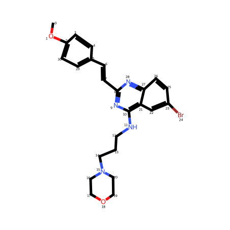 COc1ccc(C=Cc2nc(NCCCN3CCOCC3)c3cc(Br)ccc3n2)cc1